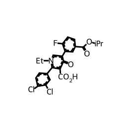 CCn1cc(-c2cc(C(=O)OC(C)C)ccc2F)c(=O)c(C(=O)O)c1-c1ccc(Cl)c(Cl)c1